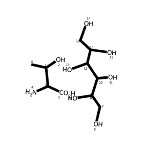 CC(O)C(N)C(=O)O.OCC(O)C(O)C(O)C(O)CO